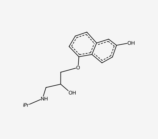 CC(C)NCC(O)COc1cccc2cc(O)ccc12